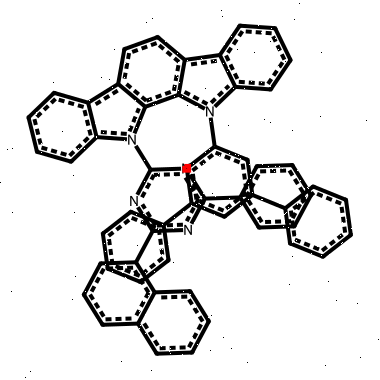 c1ccc(-c2cc(-c3ccccc3)cc(-n3c4ccccc4c4ccc5c6ccccc6n(-c6nc(-c7ccccc7)nc(-c7cccc8ccccc78)n6)c5c43)c2)cc1